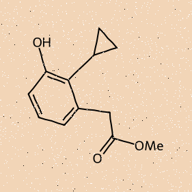 COC(=O)Cc1cccc(O)c1C1CC1